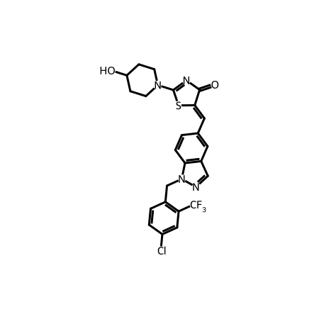 O=C1N=C(N2CCC(O)CC2)S/C1=C\c1ccc2c(cnn2Cc2ccc(Cl)cc2C(F)(F)F)c1